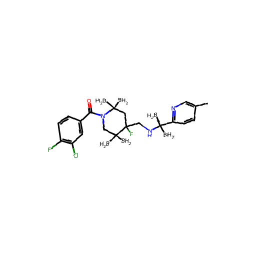 BC(B)(NCC1(F)CC(B)(B)N(C(=O)c2ccc(F)c(Cl)c2)CC1(B)B)c1ccc(C)cn1